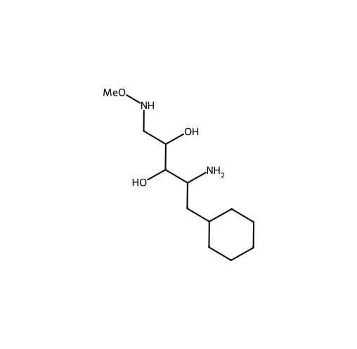 CONCC(O)C(O)C(N)CC1CCCCC1